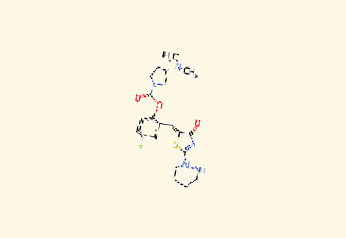 CN(C)[C@H]1CCN(C(=O)Oc2ccc(F)cc2/C=C2\SC(N3CCCCN3)=NC2=O)C1